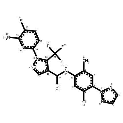 Cc1cc(-n2nccn2)c(Cl)cc1NC(O)c1cnn(-c2ccc(F)c(N)n2)c1C(F)(F)F